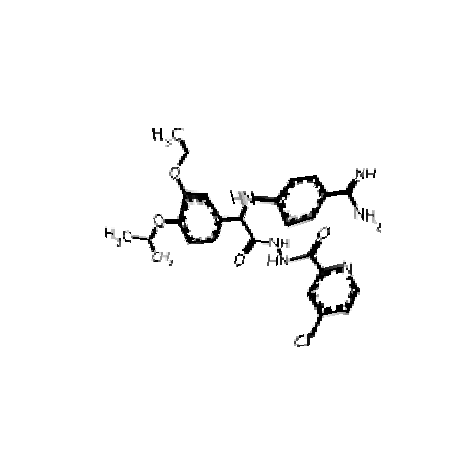 CCOc1cc(C(Nc2ccc(C(=N)N)cc2)C(=O)NNC(=O)c2cc(Cl)ccn2)ccc1OC(C)C